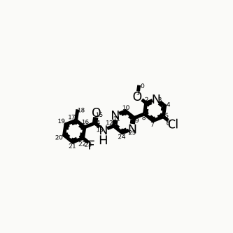 COc1ncc(Cl)cc1-c1cnc(NC(=O)c2c(C)cccc2F)cn1